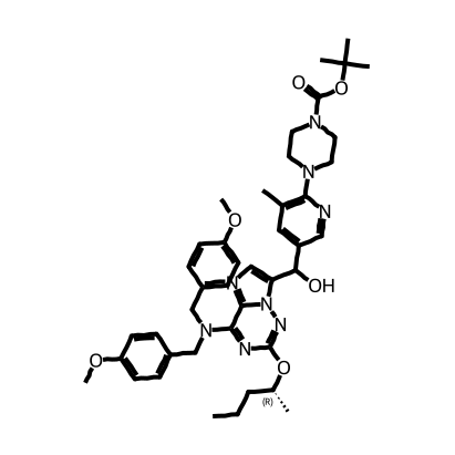 CCC[C@@H](C)Oc1nc(N(Cc2ccc(OC)cc2)Cc2ccc(OC)cc2)c2ncc(C(O)c3cnc(N4CCN(C(=O)OC(C)(C)C)CC4)c(C)c3)n2n1